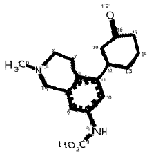 CN1CCc2c(cc(NC(=O)O)cc2C2CCCC(=O)C2)C1